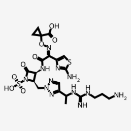 CC(NC(=N)NCCCN)c1cnn(C[C@@H]2[C@H](NC(=O)/C(=N\OC3(C(=O)O)CC3)c3csc(N)n3)C(=O)N2S(=O)(=O)O)n1